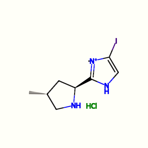 C[C@H]1CN[C@H](C2=[N+]C(I)=CN2)C1.Cl